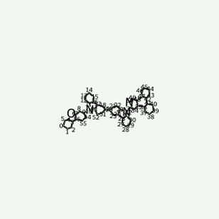 c1ccc2c(c1)oc1cc(-n3c4ccccc4c4cc(-c5ccc6c(c5)c5ccccc5n6-c5cc6c7ccccc7c7ccccc7c6cn5)ccc43)ccc12